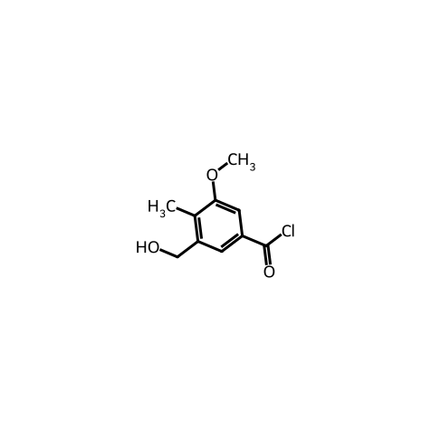 COc1cc(C(=O)Cl)cc(CO)c1C